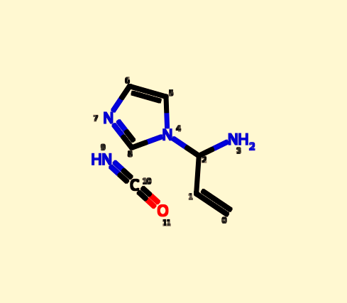 C=CC(N)n1ccnc1.N=C=O